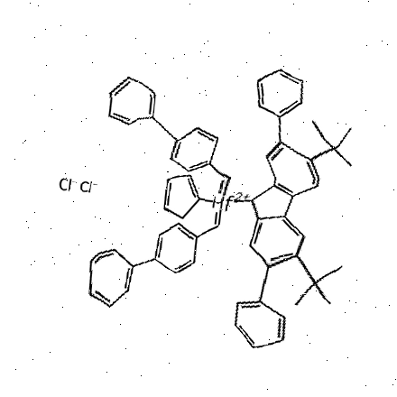 CC(C)(C)c1cc2c(cc1-c1ccccc1)[CH]([Hf+2](=[CH]c1ccc(-c3ccccc3)cc1)(=[CH]c1ccc(-c3ccccc3)cc1)[C]1=CC=CC1)c1cc(-c3ccccc3)c(C(C)(C)C)cc1-2.[Cl-].[Cl-]